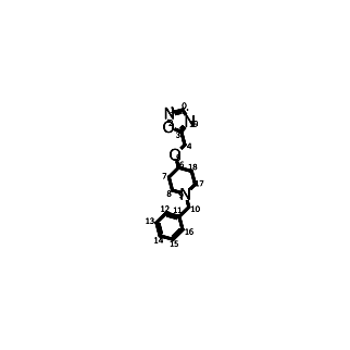 [c]1noc(COC2CCN(Cc3ccccc3)CC2)n1